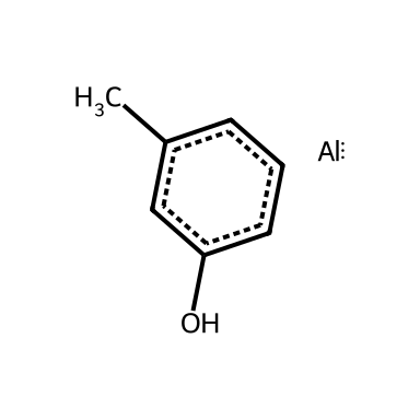 Cc1cccc(O)c1.[Al]